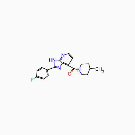 CC1CCN(C(=O)c2ccnc3[nH]c(-c4ccc(F)cc4)nc23)CC1